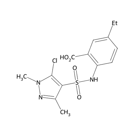 CCc1ccc(NS(=O)(=O)c2c(C)nn(C)c2Cl)c(C(=O)O)c1